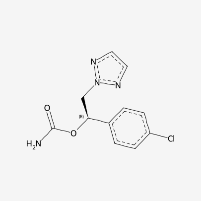 NC(=O)O[C@@H](Cn1nccn1)c1ccc(Cl)cc1